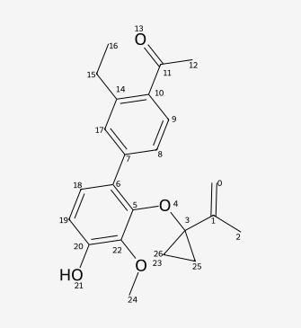 C=C(C)C1(Oc2c(-c3ccc(C(C)=O)c(CC)c3)ccc(O)c2OC)CC1